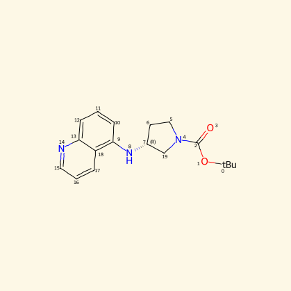 CC(C)(C)OC(=O)N1CC[C@@H](Nc2cccc3ncccc23)C1